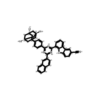 N#Cc1ccc2oc3c(-c4nc(-c5ccc(C67C[C@H]8C[C@H](C6)C[C@@H](C7)C8)cc5)nc(-c5ccc6ccccc6c5)n4)cccc3c2c1